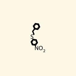 O=[N+]([O-])c1ccc(SCCc2ccccc2)cc1